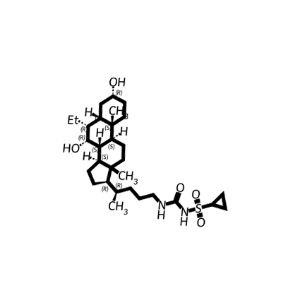 CC[C@H]1[C@@H](O)[C@H]2[C@@H]3CC[C@H]([C@H](C)CCCNC(=O)NS(=O)(=O)C4CC4)C3(C)CC[C@@H]2[C@@]2(C)CC[C@@H](O)C[C@@H]12